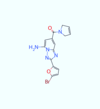 Nc1cc(C(=O)N2CC=CC2)cc2nc(-c3ccc(Br)o3)nn12